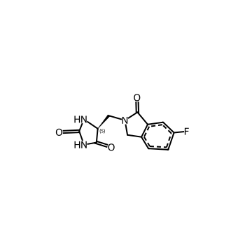 O=C1NC(=O)[C@H](CN2Cc3ccc(F)cc3C2=O)N1